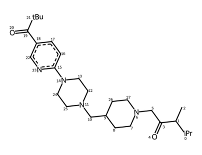 CC(C)C(C)C(=O)CN1CCC(CN2CCN(c3ccc(C(=O)C(C)(C)C)cn3)CC2)CC1